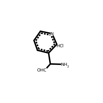 Cl.NC(C=O)c1cccnc1